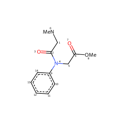 CNCC(=O)N(CC(=O)OC)c1ccccc1